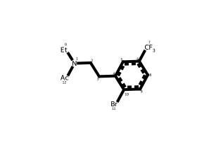 CCN(CCc1cc(C(F)(F)F)ccc1Br)C(C)=O